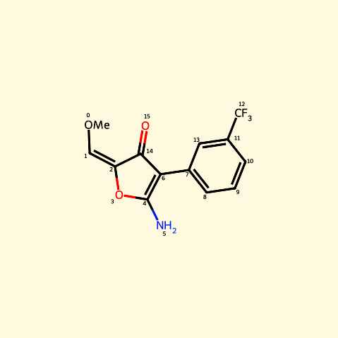 CO/C=C1/OC(N)=C(c2cccc(C(F)(F)F)c2)C1=O